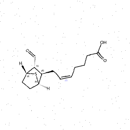 O=C[C@@H]1[C@@H](C/C=C\CCCC(=O)O)[C@H]2CC[C@H]1S2